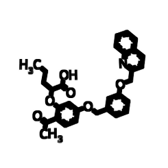 CCCC(Oc1cc(OCc2cccc(OCc3ccc4ccccc4n3)c2)ccc1C(C)=O)C(=O)O